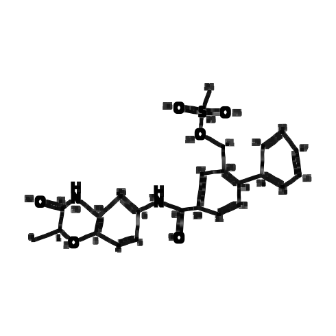 CC1Oc2ccc(NC(=O)c3ccc(-c4ccccc4)c(COS(C)(=O)=O)c3)cc2NC1=O